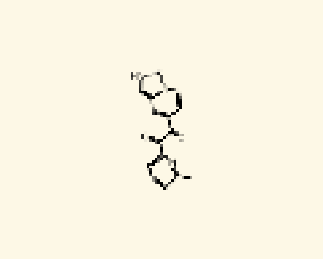 Cc1cccc(C(=O)C(=O)C2=CC3=CNSN3C=C2)n1